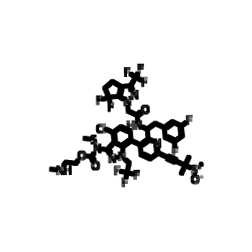 CNCCOC(=O)N(SC)c1nn(CC(F)(F)F)c2c(-c3ccc(C#CC(C)(C)[S+](C)[O-])nc3C(Cc3cc(F)cc(F)c3)NC(=O)Cn3nc(C(F)(F)F)c4c3C(F)(F)CC4)ccc(Cl)c12